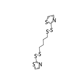 c1csc(SSCCCCSSc2nccs2)n1